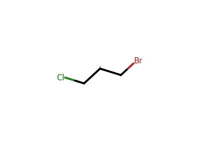 ClC[CH]CBr